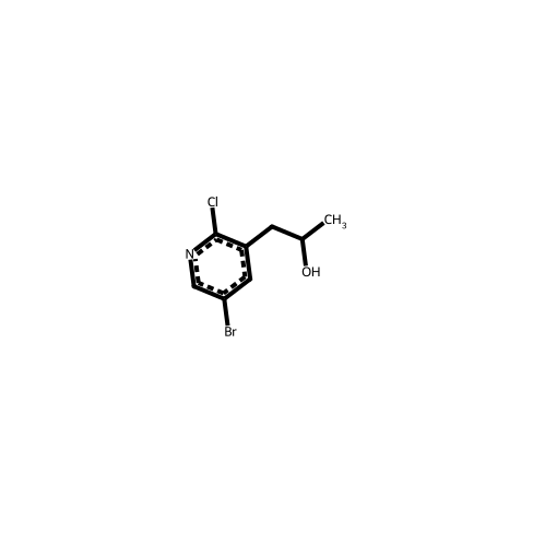 CC(O)Cc1cc(Br)cnc1Cl